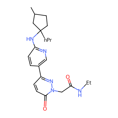 CCCC1(Nc2ccc(-c3ccc(=O)n(CC(=O)NCC)n3)cn2)CCC(C)C1